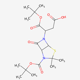 CC(C)(C)OC(=O)C(CC(=O)O)N1C(=O)C2C1SC(C)(C)N2C(=O)OC(C)(C)C